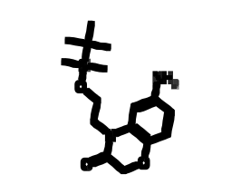 CC(C)(C)[Si](C)(C)OCCN1C(=O)COc2ccc(N)cc21